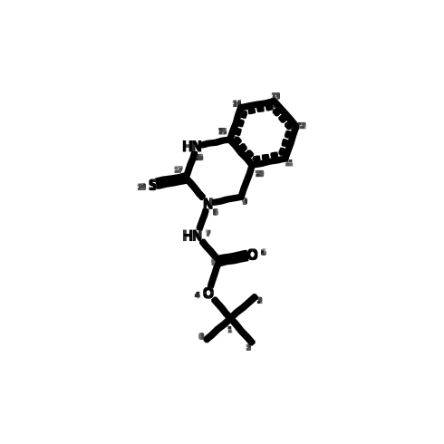 CC(C)(C)OC(=O)NN1Cc2ccccc2NC1=S